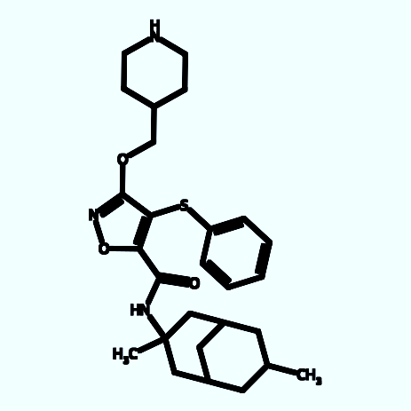 CC1CC2CC(C1)CC(C)(NC(=O)c1onc(OCC3CCNCC3)c1Sc1ccccc1)C2